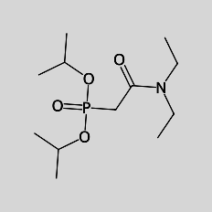 CCN(CC)C(=O)CP(=O)(OC(C)C)OC(C)C